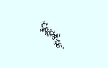 CN1CCN(CC(=O)Nc2ccc3c(c2)COC(NC2CCCCCCC2)=N3)CC1